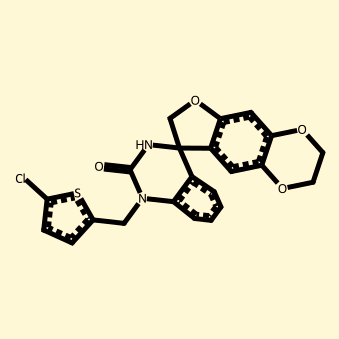 O=C1NC2(COc3cc4c(cc32)OCCO4)c2ccccc2N1Cc1ccc(Cl)s1